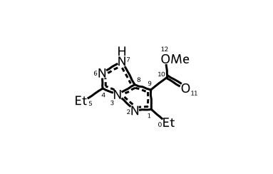 CCc1nn2c(CC)n[nH]c2c1C(=O)OC